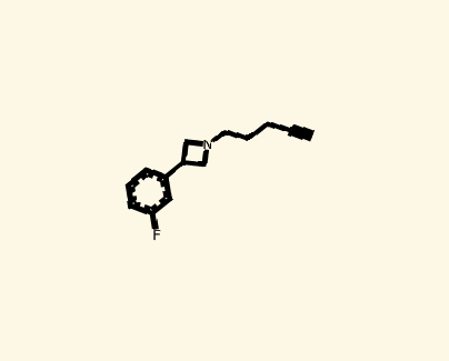 C#CCCCN1CC(c2cccc(F)c2)C1